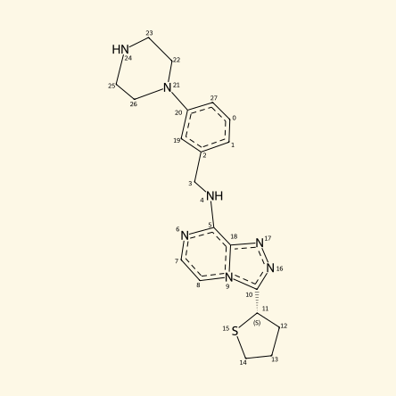 c1cc(CNc2nccn3c([C@@H]4CCCS4)nnc23)cc(N2CCNCC2)c1